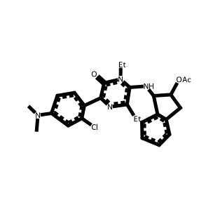 CCc1nc(-c2ccc(N(C)C)cc2Cl)c(=O)n(CC)c1NC1c2ccccc2CC1OC(C)=O